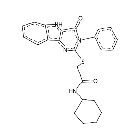 O=C(CSc1nc2c([nH]c3ccccc32)c(=O)n1-c1ccccc1)NC1CCCCC1